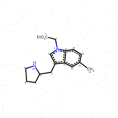 CCOC(=O)Cn1cc(CC2CCCN2)c2cc(C)ccc21